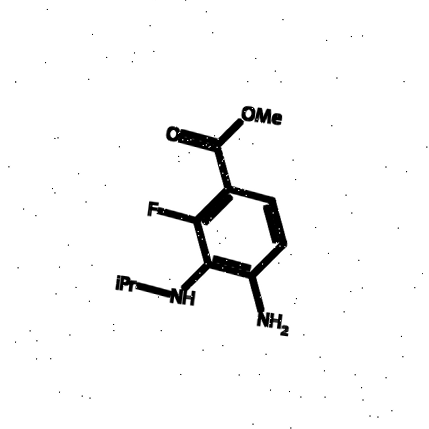 COC(=O)c1ccc(N)c(NC(C)C)c1F